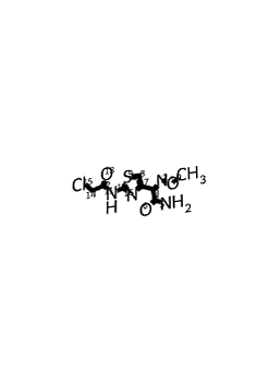 CON=C(C(N)=O)c1csc(NC(=O)CCl)n1